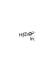 [Hf].[In].[O-2].[Zn+2]